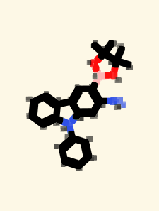 CC1(C)OB(c2cc3c4ccccc4n(-c4ccccc4)c3cc2N)OC1(C)C